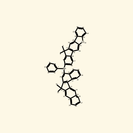 CC1(C)c2cc(N(c3ccccc3)c3cc4c(c5ccccc35)-c3cc5ccccc5cc3C4(C)C)ccc2-c2cc3oc4ccccc4c3cc21